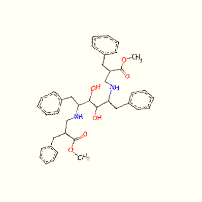 COC(=O)C(CNC(Cc1ccccc1)C(O)C(O)C(Cc1ccccc1)NCC(Cc1ccccc1)C(=O)OC)Cc1ccccc1